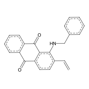 C=Cc1ccc2c(c1NCc1ccccc1)C(=O)c1ccccc1C2=O